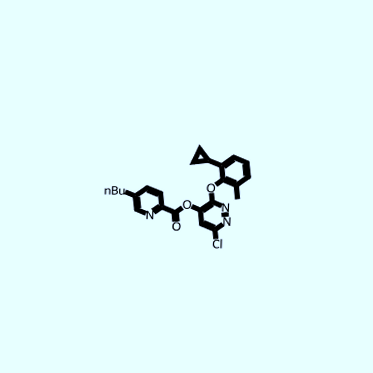 CCCCc1ccc(C(=O)Oc2cc(Cl)nnc2Oc2c(C)cccc2C2CC2)nc1